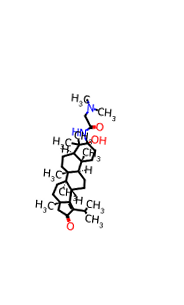 CC(C)C1=C2[C@H]3CC[C@@H]4[C@@]5(C)CC[C@@](O)(NC(=O)CN(C)C)C(C)(C)[C@@H]5CC[C@@]4(C)[C@]3(C)CC[C@@]2(C)CC1=O